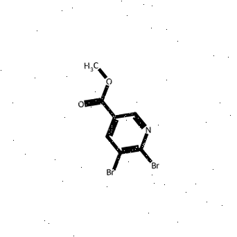 COC(=O)c1cnc(Br)c(Br)c1